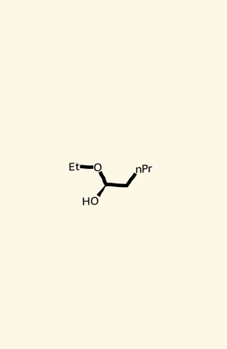 CCCC[C@@H](O)OCC